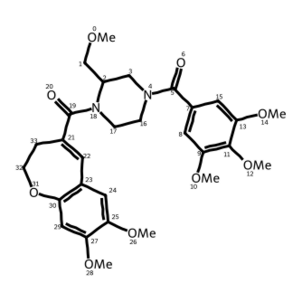 COCC1CN(C(=O)c2cc(OC)c(OC)c(OC)c2)CCN1C(=O)C1=Cc2cc(OC)c(OC)cc2OCC1